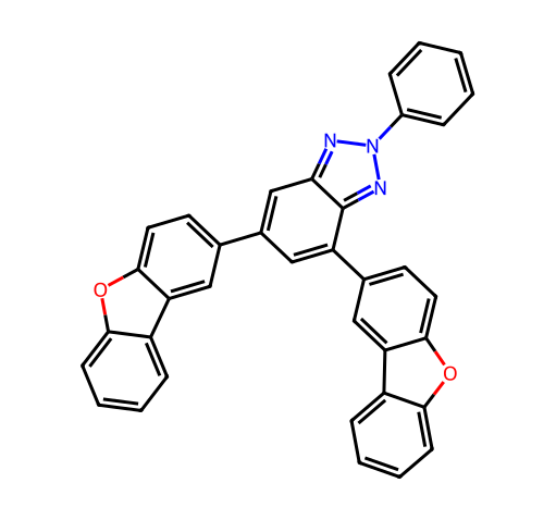 c1ccc(-n2nc3cc(-c4ccc5oc6ccccc6c5c4)cc(-c4ccc5oc6ccccc6c5c4)c3n2)cc1